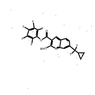 COc1nc2cc(C(F)(F)C3CC3)ccc2cc1C(=O)Oc1c(F)c(F)c(F)c(F)c1F